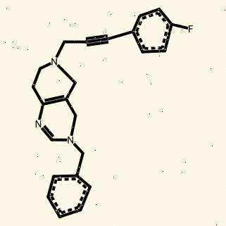 Fc1ccc(C#CCN2CCC3=C(CN(Cc4ccccc4)C=N3)C2)cc1